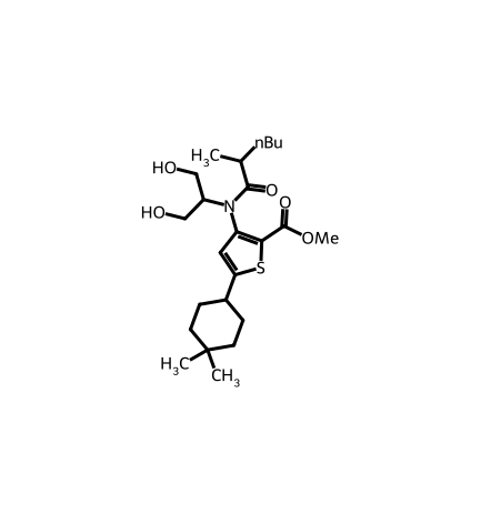 CCCCC(C)C(=O)N(c1cc(C2CCC(C)(C)CC2)sc1C(=O)OC)C(CO)CO